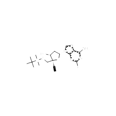 C#C[C@]1(CO[Si](C)(C)C(C)(C)C)O[C@@H](n2cnc3c(N)nc(F)nc32)C[C@@H]1O